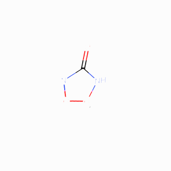 O=C1NOON1